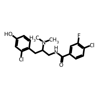 CN(C)C(CNC(=O)c1ccc(Cl)c(F)c1)Cc1ccc(O)cc1Cl